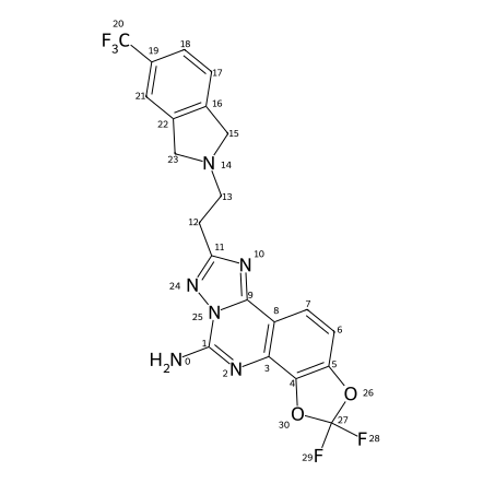 Nc1nc2c3c(ccc2c2nc(CCN4Cc5ccc(C(F)(F)F)cc5C4)nn12)OC(F)(F)O3